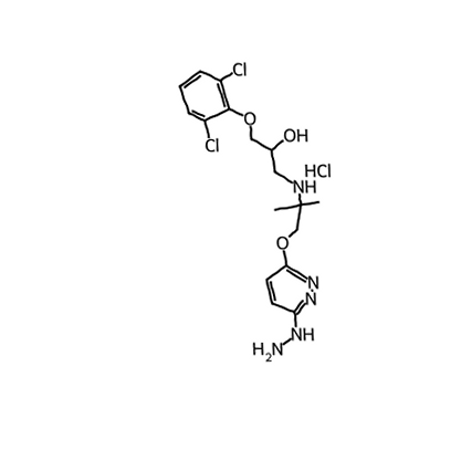 CC(C)(COc1ccc(NN)nn1)NCC(O)COc1c(Cl)cccc1Cl.Cl